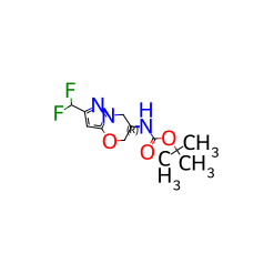 CC(C)(C)OC(=O)N[C@H]1COc2cc(C(F)F)nn2C1